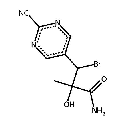 CC(O)(C(N)=O)C(Br)c1cnc(C#N)nc1